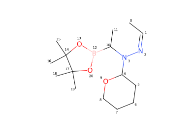 C/C=N\N(C1CCCCO1)C(C)B1OC(C)(C)C(C)(C)O1